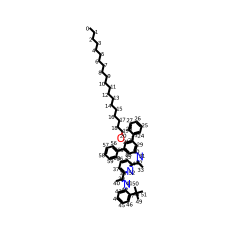 CCCCCCCCCCCCCCCCCCCCOc1c(-c2ccccc2)cc(N=C(C)c2cccc(C(C)=Nc3ccccc3C(C)(C)C)n2)cc1-c1ccccc1